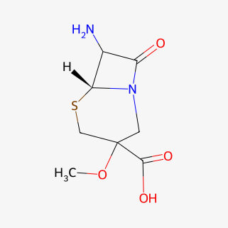 COC1(C(=O)O)CS[C@@H]2C(N)C(=O)N2C1